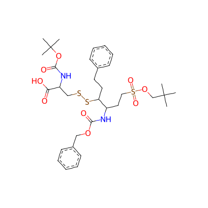 CC(C)(C)COS(=O)(=O)CCC(NC(=O)OCc1ccccc1)C(CCc1ccccc1)SSCC(NC(=O)OC(C)(C)C)C(=O)O